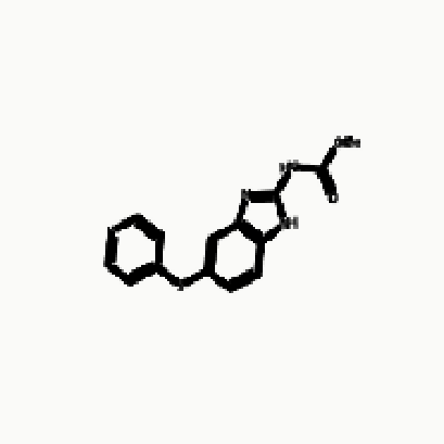 COC(=O)Nc1nc2cc(Sc3ccncc3)ccc2[nH]1